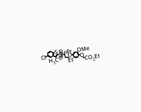 CCCN(CC(CC)Oc1ccc(OCC(=O)OCC)c(OC)c1)S(=O)(=O)c1sc2ccc(Cl)cc2c1C